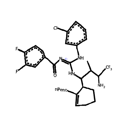 CCCCCC1=CCCCC1C(N/C(=N\C(=O)c1ccc(F)c(F)c1)Nc1cccc(Cl)c1)C(C)C(N)C(F)(F)F